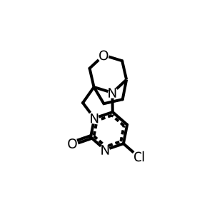 O=c1nc(Cl)cc2n1CC13CCC(COC1)N23